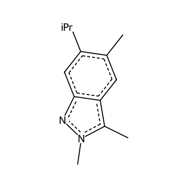 Cc1cc2c(C)n(C)nc2cc1C(C)C